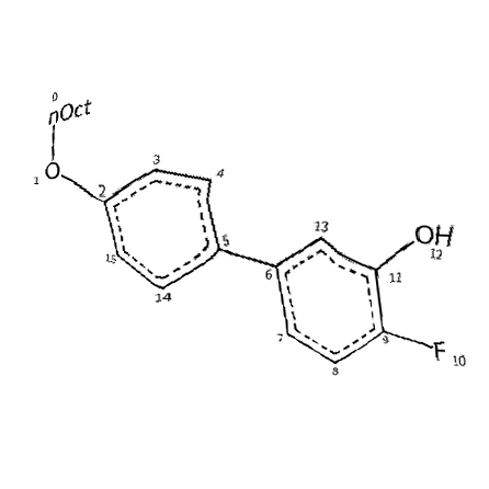 CCCCCCCCOc1ccc(-c2ccc(F)c(O)c2)cc1